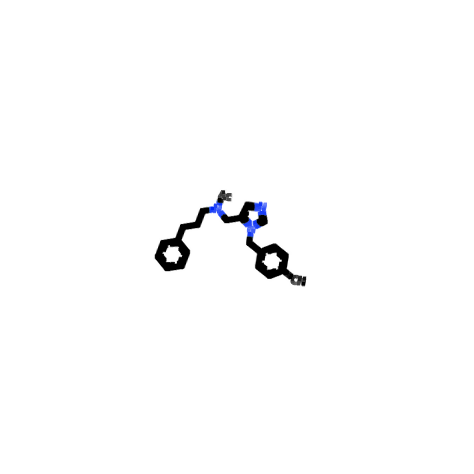 CC(=O)N(CCCc1ccccc1)Cc1cncn1Cc1ccc(C#N)cc1